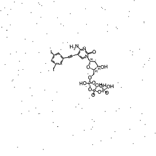 Nc1nc(=O)n([C@H]2C[C@@H](O)[C@@H](COP(=O)(O)OP(=O)(O)OP(=O)(O)O)O2)cc1C#Cc1cc(I)cc(I)c1